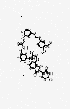 COc1ccc(CCCc2cccc(OCC(=O)NCc3cccc(NC(=O)COc4cccc5c4CN(C4CCC(=O)NC4=O)C5=O)c3)c2)cc1OC